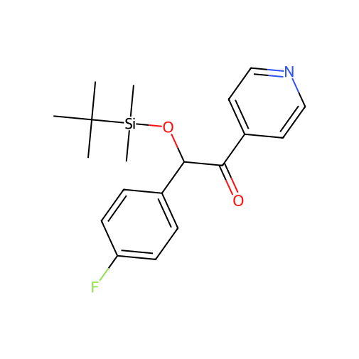 CC(C)(C)[Si](C)(C)OC(C(=O)c1ccncc1)c1ccc(F)cc1